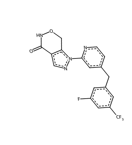 O=C1NOCc2c1cnn2-c1cc(Cc2cc(F)cc(C(F)(F)F)c2)ccn1